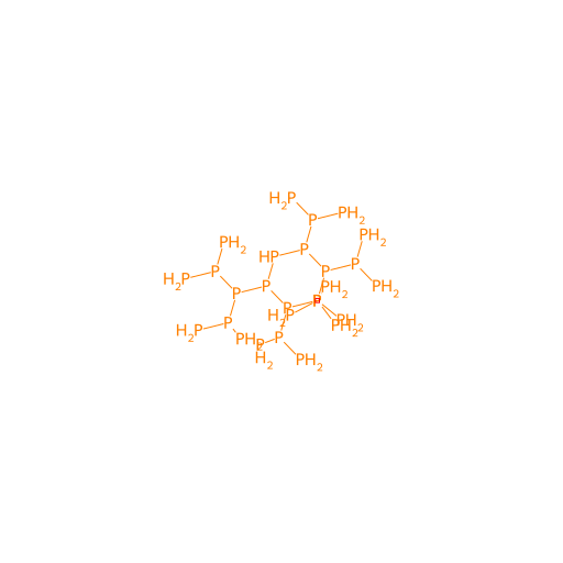 PP(P)P(PP(P(P(P)P)P(P)P)P(P(P)P)P(P)P)P(P(P)P)P(P)P